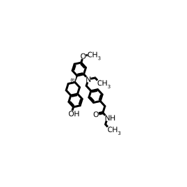 CCNC(=O)Cc1ccc(CN(CC)c2cc(OC)ccc2[C@@H]2CCc3cc(O)ccc3C2)cc1